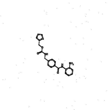 Nc1ccccc1NC(=O)c1ccc(CNC(=O)OCc2cccs2)cc1